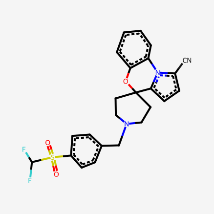 N#Cc1ccc2n1-c1ccccc1OC21CCN(Cc2ccc(S(=O)(=O)C(F)F)cc2)CC1